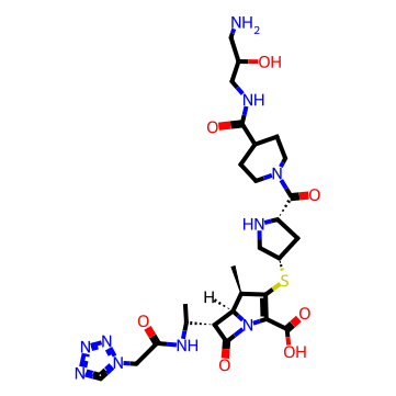 CC(NC(=O)Cn1cnnn1)[C@H]1C(=O)N2C(C(=O)O)=C(S[C@@H]3CN[C@H](C(=O)N4CCC(C(=O)NCC(O)CN)CC4)C3)[C@H](C)[C@H]12